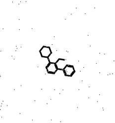 CCc1c(-c2ccccc2)cccc1C1CCCCC1